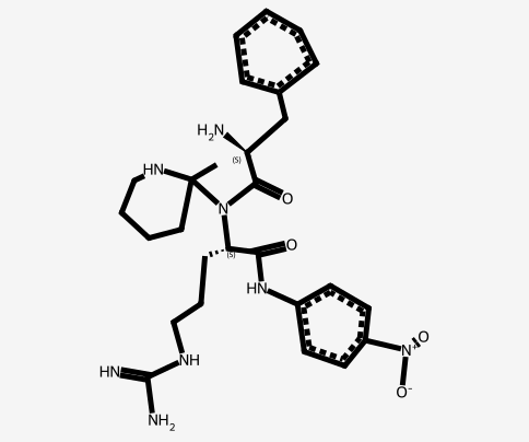 CC1(N(C(=O)[C@@H](N)Cc2ccccc2)[C@@H](CCCNC(=N)N)C(=O)Nc2ccc([N+](=O)[O-])cc2)CCCCN1